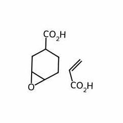 C=CC(=O)O.O=C(O)C1CCC2OC2C1